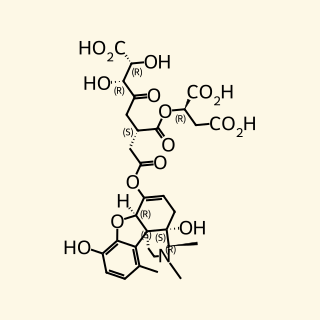 Cc1ccc(O)c2c1[C@]13CCN(C)[C@H](C)[C@]1(O)CC=C(OC(=O)C[C@H](CC(=O)[C@H](O)[C@@H](O)C(=O)O)C(=O)O[C@H](CC(=O)O)C(=O)O)[C@@H]3O2